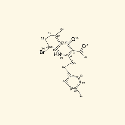 CC(=O)c1c(SCc2ccc(C)cc2)[nH]c2c(c1=O)=C(C)CCC=2Br